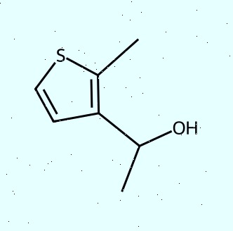 Cc1sccc1C(C)O